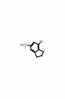 CCc1cc(C(=O)O)cc2c1CCC2